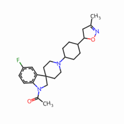 CC(=O)N1CC2(CCN(C3CCC(C4CC(C)=NO4)CC3)CC2)c2cc(F)ccc21